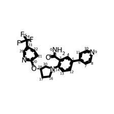 NC(=O)c1cc(-c2ccncc2)ccc1N1CC[C@H](Oc2ccc(C(F)(F)F)cn2)C1